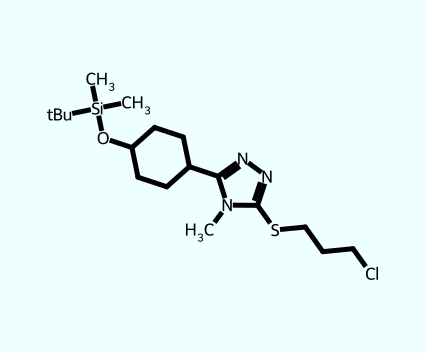 Cn1c(SCCCCl)nnc1C1CCC(O[Si](C)(C)C(C)(C)C)CC1